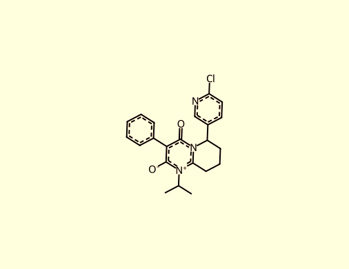 CC(C)[n+]1c([O-])c(-c2ccccc2)c(=O)n2c1CCCC2c1ccc(Cl)nc1